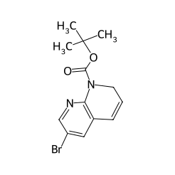 CC(C)(C)OC(=O)N1CC=Cc2cc(Br)cnc21